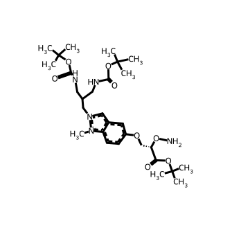 C[n+]1c2ccc(OC[C@H](ON)C(=O)OC(C)(C)C)cc2cn1CC(CNC(=O)OC(C)(C)C)CNC(=O)OC(C)(C)C